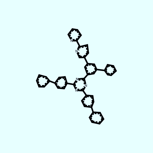 c1ccc(-c2ccc(-c3nc(-c4ccc(-c5ccccc5)cc4)nc(-c4cc(-c5ccccc5)cc(-c5ccc(-c6ccccn6)nc5)c4)n3)cc2)cc1